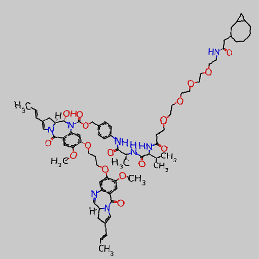 C/C=C/C1=CN2C(=O)c3cc(OC)c(OCCCOc4cc5c(cc4OC)C(=O)N4C=C(/C=C/C)C[C@H]4[C@H](O)N5C(=O)OCc4ccc(NC(=O)[C@H](C)NC(=O)[C@@H](NC(=O)CCOCCOCCOCCOCCNC(=O)CC5CCCCC6CC6C5)C(C)C)cc4)cc3N=C[C@@H]2C1